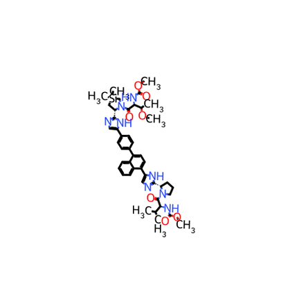 COC(=O)N[C@H](C(=O)N1CCC[C@H]1c1ncc(-c2ccc(-c3ccc(-c4cnc([C@@H]5C[Si](C)(C)CN5C(=O)[C@@H](NC(=O)OC)C(C)OC)[nH]4)cc3)c3ccccc23)[nH]1)C(C)C